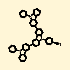 N#Cc1ccc(-n2c3ccc(-c4ccc5c(c4)c4ccccc4n5-c4ccccc4)cc3c3cc(-c4ccc5c(c4)c4ccccc4n5-c4ccccc4)ccc32)cc1